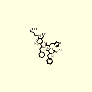 CCOC(=O)CCCNC(=O)C(CC(C)C)CC(O)C(CC1CCCCC1)NC(=O)C(Cc1c[nH]cn1)NC(=O)C(Cc1ccccc1)NC(=O)OC(C)(C)C